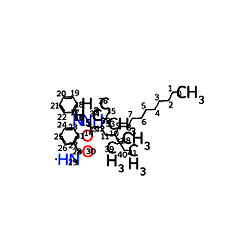 CCCCCCCCCCC(CC(C(=O)NN(c1ccccc1)c1cccc(C([NH])=O)c1)C(C)(C)CC)C(C)(C)CC